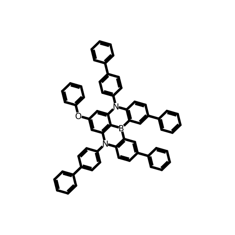 c1ccc(Oc2cc3c4c(c2)N(c2ccc(-c5ccccc5)cc2)c2ccc(-c5ccccc5)cc2B4c2cc(-c4ccccc4)ccc2N3c2ccc(-c3ccccc3)cc2)cc1